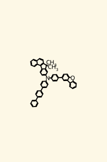 CC1(C)c2cc(N(c3ccc(-c4ccc(-c5ccccc5)cc4)cc3)c3ccc(-c4ccc5oc6ccccc6c5c4)cc3)ccc2-c2c1ccc1ccccc21